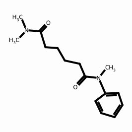 CN(C)C(=O)CCCCC(=O)N(C)c1ccccc1